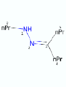 CCCNN=C(CCC)CCC